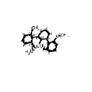 COc1cccc(C)c1C1CCCC(c2c(C)cccc2OC)C1C